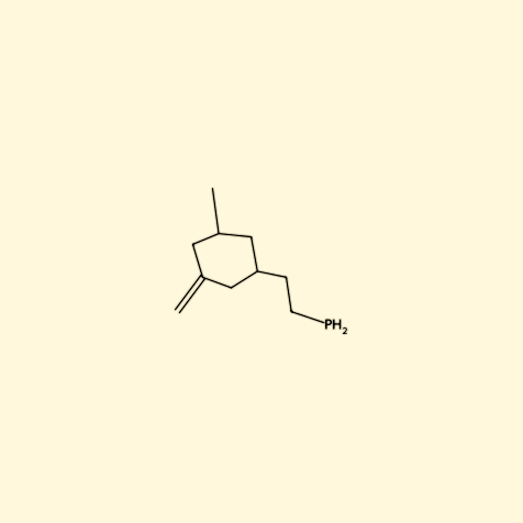 C=C1CC(C)CC(CCP)C1